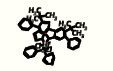 CC(C)(C)c1cc2c(cc1-c1ccccc1)[CH]([Hf]([Cl])([Cl])([CH]1C=CC=C1)=[Si](c1ccccc1)c1ccccc1)c1cc(-c3ccccc3)c(C(C)(C)C)cc1-2